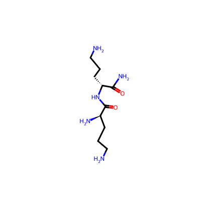 NCCC[C@@H](N)C(=O)N[C@H](CCCN)C(N)=O